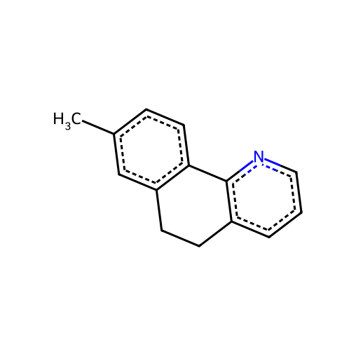 Cc1ccc2c(c1)CCc1cccnc1-2